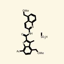 COCc1cccc2nc(NC(=O)c3sc4c(C(C)=O)ccc(COC)c4c3C)ccc12.CS(=O)(=O)O